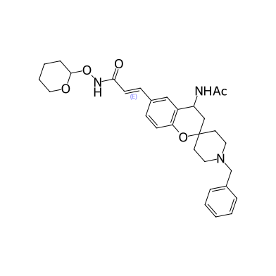 CC(=O)NC1CC2(CCN(Cc3ccccc3)CC2)Oc2ccc(/C=C/C(=O)NOC3CCCCO3)cc21